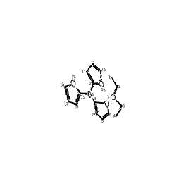 CCOCC.c1coc(B(c2ccco2)c2ccco2)c1